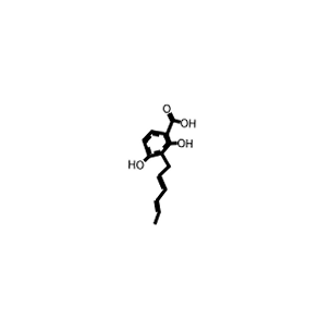 CC=CC=CCc1c(O)ccc(C(=O)O)c1O